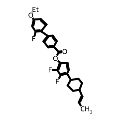 C/C=C/C1CCC(c2ccc(OC(=O)c3ccc(-c4ccc(OCC)cc4F)cc3)c(F)c2F)CC1